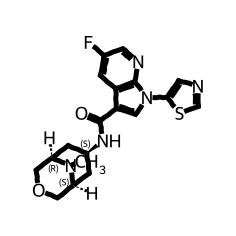 CN1[C@@H]2COC[C@H]1C[C@@H](NC(=O)c1cn(-c3cncs3)c3ncc(F)cc13)C2